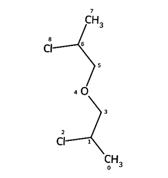 CC(Cl)COCC(C)Cl